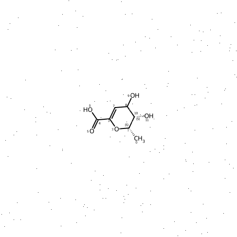 C[C@@H]1OC(C(=O)O)=CC(O)[C@@H]1O